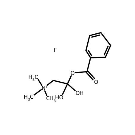 C[N+](C)(C)CC(O)(O)OC(=O)c1ccccc1.[I-]